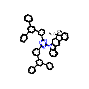 CC1(C)c2ccccc2C2=Cc3c(n(-c4nc(-c5cccc(-c6cc(-c7ccccc7)cc(-c7ccccc7)c6)c5)nc(-c5cccc(-c6cc(-c7ccccc7)cc(-c7ccccc7)c6)c5)n4)c4ccccc34)CC21